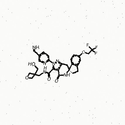 N=Cc1ccc(-n2nc3c(c2C(=O)NCC2(CO)COC2)C(=O)N[C@@]2(CCc4cc(OCC(F)(F)F)ccc42)C3)nc1